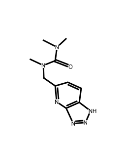 CN(C)C(=O)N(C)Cc1ccc2[nH]nnc2n1